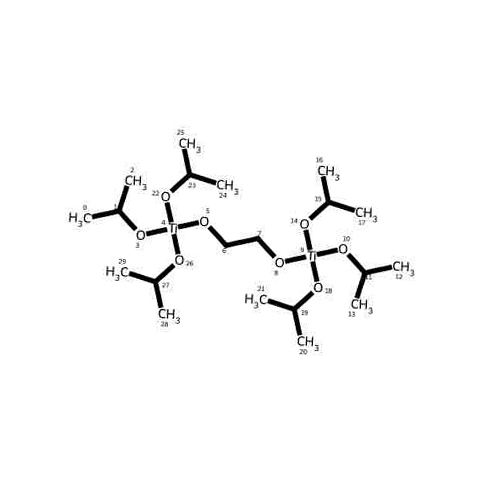 CC(C)[O][Ti]([O]CC[O][Ti]([O]C(C)C)([O]C(C)C)[O]C(C)C)([O]C(C)C)[O]C(C)C